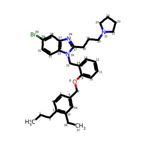 CCCc1ccc(COc2ccccc2Cn2c(CCCN3CCCC3)nc3cc(Br)ccc32)cc1CC